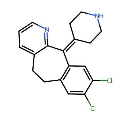 Clc1cc2c(cc1Cl)C(=C1CCNCC1)c1ncccc1CC2